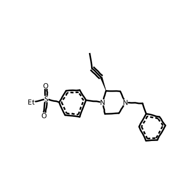 CC#C[C@H]1CN(Cc2ccccc2)CCN1c1ccc(S(=O)(=O)CC)cc1